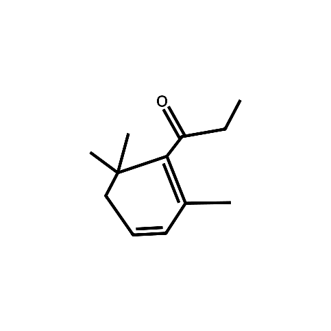 CCC(=O)C1=C(C)C=CCC1(C)C